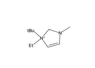 CC[N+]1(C(C)(C)C)C=CN(C)C1